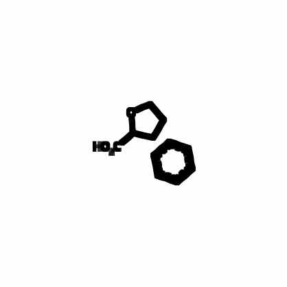 O=C(O)C1CCCO1.c1ccccc1